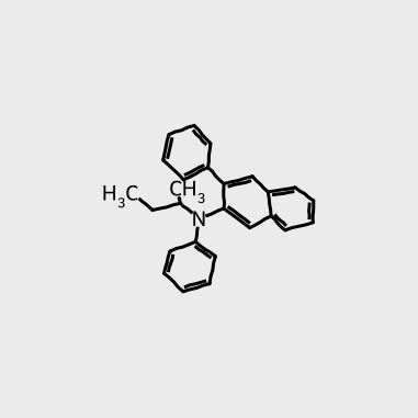 CCC(C)N(c1ccccc1)c1cc2ccccc2cc1-c1ccccc1